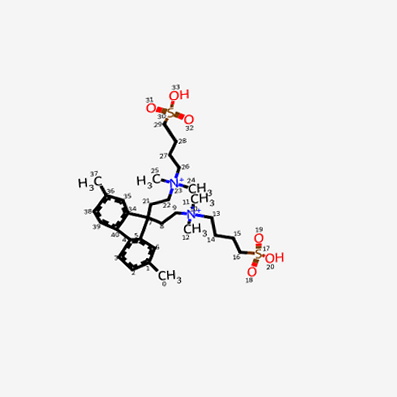 Cc1ccc2c(c1)C(CC[N+](C)(C)CCCCS(=O)(=O)O)(CC[N+](C)(C)CCCCS(=O)(=O)O)c1cc(C)ccc1-2